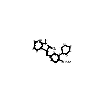 COc1ccc(C=C2C(=O)Nc3ncccc32)cc1C1CCCCC1